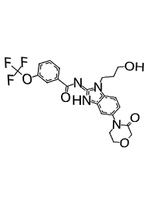 O=C(/N=c1\[nH]c2cc(N3CCOCC3=O)ccc2n1CCCO)c1cccc(OC(F)(F)F)c1